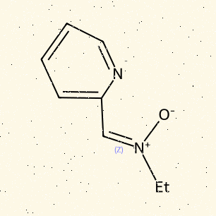 CC/[N+]([O-])=C/c1ccccn1